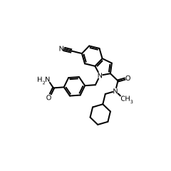 CN(CC1CCCCC1)C(=O)c1cc2ccc(C#N)cc2n1Cc1ccc(C(N)=O)cc1